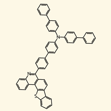 c1ccc(-c2ccc(N(c3ccc(-c4ccccc4)cc3)c3ccc(-c4ccc(-c5nc6ccccc6c6c5ccc5c7ccccc7sc56)cc4)cc3)cc2)cc1